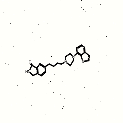 O=C1NCc2ccc(CCCCN3CCN(c4cccc5ccsc45)CC3)cc21